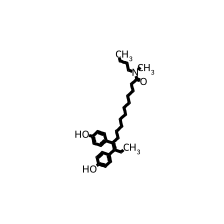 CCCCN(C)C(=O)CCCCCCCCCCC(=C(CC)c1ccc(O)cc1)c1ccc(O)cc1